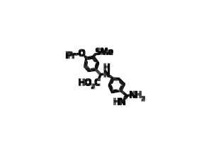 CSc1cc(C(Nc2ccc(C(=N)N)cc2)C(=O)O)ccc1OC(C)C